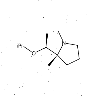 CC(C)O[C@@H](C)[C@@]1(C)CCCN1C